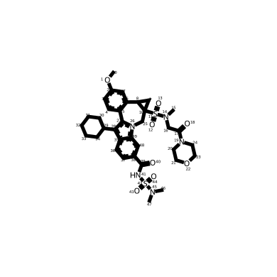 COc1ccc2c(c1)C1CC1(S(=O)(=O)N(C)CC(=O)N1CCOCC1)Cn1c-2c(C2CCCCC2)c2ccc(C(=O)NS(=O)(=O)N(C)C)cc21